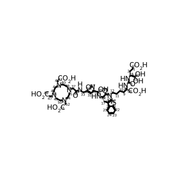 O=C(O)CC[C@H](NC(=O)N[C@@H](CCCCNC(=O)[C@H](Cc1csc2ccccc12)NC(O)c1cc(CNC(=O)CN2CCN(CC(=O)O)CCN(CC(=O)O)CCN(CC(=O)O)CC2)on1)C(=O)O)C(O)O